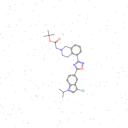 CC(C)n1cc(Cl)c2cc(-c3nc(-c4cccc5c4CCN(CC(=O)OC(C)(C)C)C5)no3)ccc21